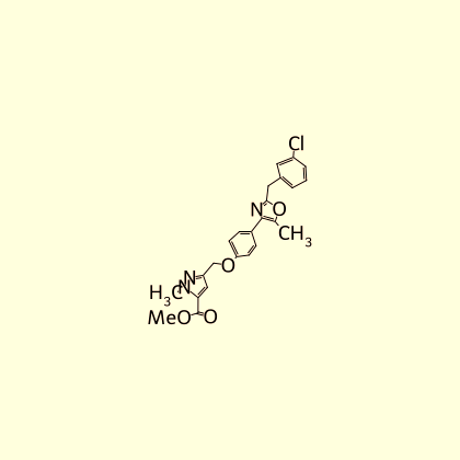 COC(=O)c1cc(COc2ccc(-c3nc(Cc4cccc(Cl)c4)oc3C)cc2)nn1C